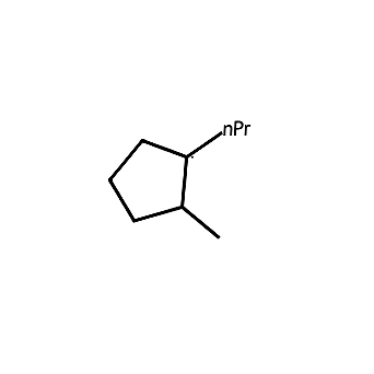 CCC[C]1CCCC1C